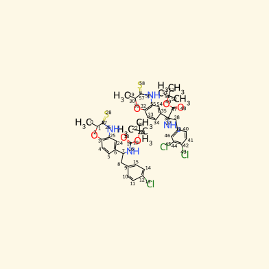 CC1Oc2ccc(C(Cc3ccc(Cl)cc3)NC(=O)OC(C)(C)C)cc2NC1=S.CC1Oc2ccc(C(N)(Cc3ccc(Cl)c(Cl)c3)C(=O)OC(C)(C)C)cc2NC1=S